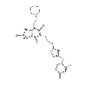 O=c1c2[nH]c(Cl)nc2n(CCN2CCCCC2)c(=O)n1CCCc1nc(Cc2ccc(F)cc2F)no1